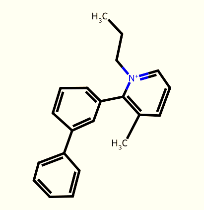 CCC[n+]1cccc(C)c1-c1cccc(-c2ccccc2)c1